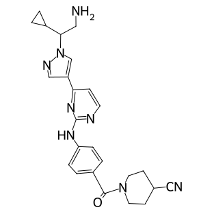 N#CC1CCN(C(=O)c2ccc(Nc3nccc(-c4cnn(C(CN)C5CC5)c4)n3)cc2)CC1